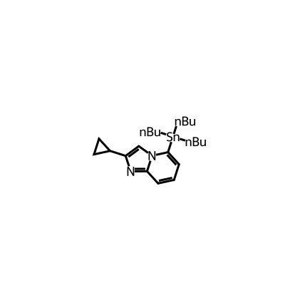 CCC[CH2][Sn]([CH2]CCC)([CH2]CCC)[c]1cccc2nc(C3CC3)cn12